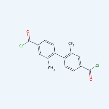 Cc1cc(C(=O)Cl)ccc1-c1ccc(C(=O)Cl)cc1C(F)(F)F